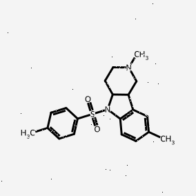 Cc1ccc(S(=O)(=O)N2c3ccc(C)cc3C3CN(C)CCC32)cc1